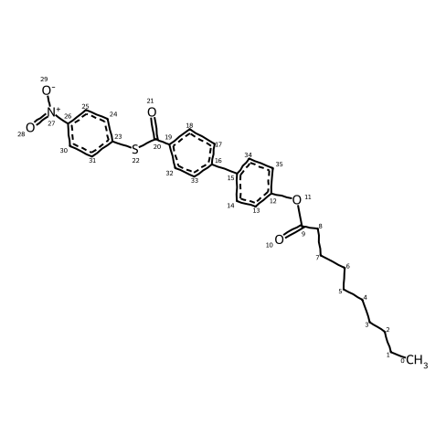 CCCCCCCCCC(=O)Oc1ccc(-c2ccc(C(=O)Sc3ccc([N+](=O)[O-])cc3)cc2)cc1